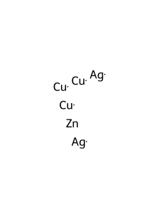 [Ag].[Ag].[Cu].[Cu].[Cu].[Zn]